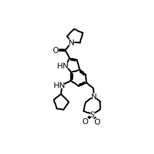 O=C(c1cc2cc(CN3CCS(=O)(=O)CC3)cc(NC3CCCC3)c2[nH]1)N1CCCC1